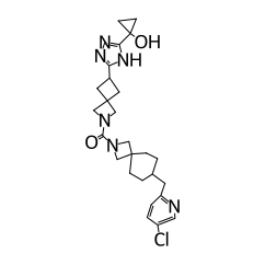 O=C(N1CC2(CCC(Cc3ccc(Cl)cn3)CC2)C1)N1CC2(CC(c3nnc(C4(O)CC4)[nH]3)C2)C1